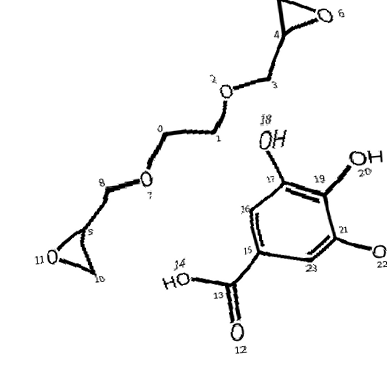 C(COCC1CO1)OCC1CO1.O=C(O)c1cc(O)c(O)c(O)c1